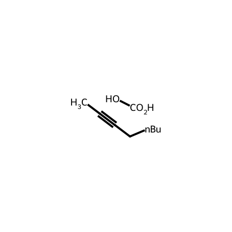 CC#CCCCCC.O=C(O)O